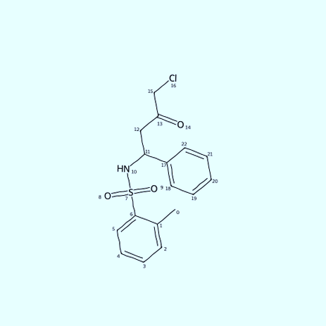 Cc1ccccc1S(=O)(=O)NC(CC(=O)CCl)c1ccccc1